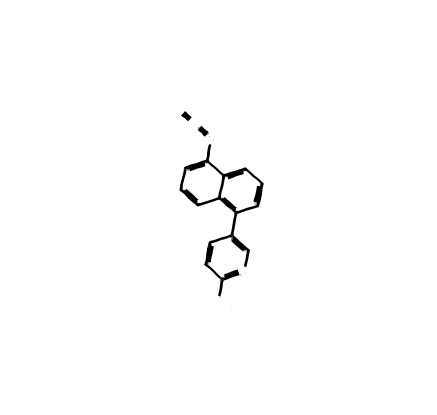 Cc1ccc(-c2cccc3c(N=C=O)cccc23)cn1